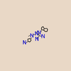 CCN(CCN1CCN(Cc2cccc3ccccc23)C1=C(C#N)C#N)Cc1ccc(CN(C)C)cc1